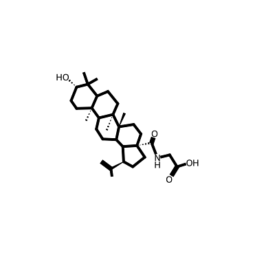 C=C(C)[C@@H]1CC[C@]2(C(=O)NCC(=O)O)CC[C@]3(C)C(CCC4[C@@]5(C)CC[C@H](O)C(C)(C)C5CC[C@]43C)C12